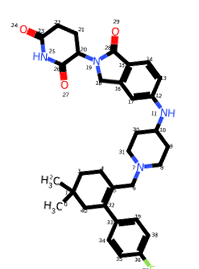 CC1(C)CCC(CN2CCC(Nc3ccc4c(c3)CN(C3CCC(=O)NC3=O)C4=O)CC2)=C(c2ccc(F)cc2)C1